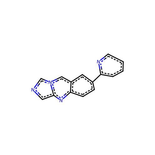 c1ccc(-c2ccc3nc4cncn4cc3c2)nc1